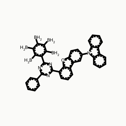 Bc1c(B)c(B)c(-c2nc(-c3ccccc3)nc(-c3cccc4c3oc3ccc(-n5c6ccccc6c6ccccc65)cc34)n2)c(B)c1B